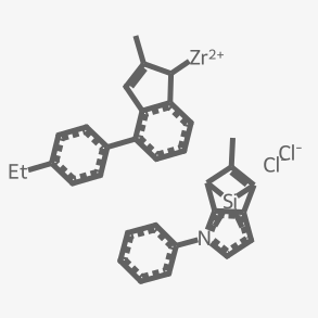 CC1=C2c3ccn(-c4ccccc4)c3C1[Si]2(C)C.CCc1ccc(-c2cccc3c2C=C(C)[CH]3[Zr+2])cc1.[Cl-].[Cl-]